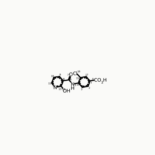 O=C(O)c1ccc(NC(=O)c2cccnc2O)c(Cl)c1